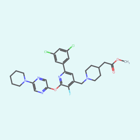 COC(=O)CC1CCN(Cc2cc(-c3cc(Cl)cc(Cl)c3)nc(Oc3cnc(N4CCCCC4)cn3)c2F)CC1